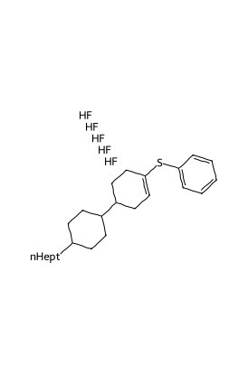 CCCCCCCC1CCC(C2CC=C(Sc3ccccc3)CC2)CC1.F.F.F.F.F